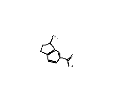 CC1CCc2ccc(C(=O)C(C)(C)C)cc21